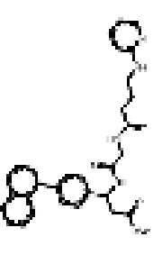 COC(=O)CC(NC(=O)CNC(=O)CCCNc1ccccn1)c1ccc(-c2cccc3ccccc23)cc1